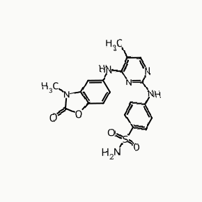 Cc1cnc(Nc2ccc(S(N)(=O)=O)cc2)nc1Nc1ccc2oc(=O)n(C)c2c1